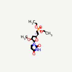 CCOP(=O)(/C=C/[C@@H]1CC(OC)[C@H](n2ccc(=O)[nH]c2=O)O1)OCC